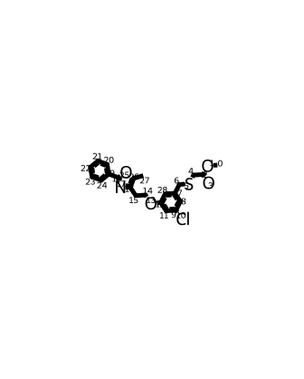 COC(=O)CSCc1cc(Cl)cc(OCCc2nc(-c3ccccc3)oc2C)c1